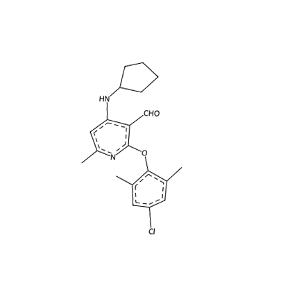 Cc1cc(NC2CCCC2)c(C=O)c(Oc2c(C)cc(Cl)cc2C)n1